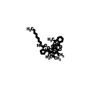 CCCCCCCCNC(=O)[C@@H]1CCCN1C(=O)/C(C)=C/[C@H](C(C)C)N(C)C(=O)[C@@H](NC(=O)C1CCCCN1C(C)C)C(C)(C)C